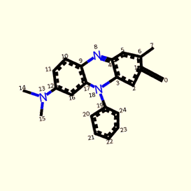 C=c1cc2c(cc1C)=Nc1ccc(N(C)C)cc1N2c1ccccc1